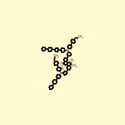 CCCc1ccc(-c2ccc(N(c3ccc(-c4ccc(-c5ccccc5)cc4)cc3)c3cccc(-c4ccc5c(c4)C4(CC5(C)C)CC(C)(C)c5ccc(-c6cccc(N(c7ccc(-c8ccc(CCC)cc8)cc7)c7ccc(-c8ccc(-c9ccc(-c%10ccccc%10)cc9)cc8)cc7)c6)cc54)c3)cc2)cc1